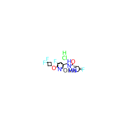 COc1nc(OC2CC(F)(F)C2)c(F)cc1CNC(=O)[C@@H]1C[C@@H](F)CN1.Cl